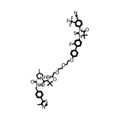 Cc1ncsc1-c1ccc(CNC(=O)[C@@H]2C[C@@H](C)CN2C(=O)[C@@H](NC(=O)COCCOCCOc2ccc(-c3ccc(N4C(=S)N(c5ccc(C#N)c(C(F)(F)F)c5)C(=O)C4(C)C)cc3F)cc2)C(C)(C)C)cc1